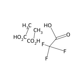 CC(=O)O.CC(=O)O.O=C(O)C(F)(F)F